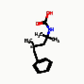 C[C@H](Cc1ccccc1)CC(C)(C)NC(=O)O